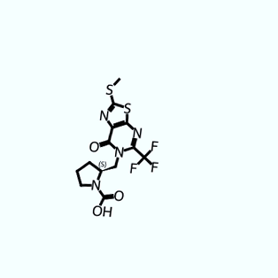 CSc1nc2c(=O)n(C[C@@H]3CCCN3C(=O)O)c(C(F)(F)F)nc2s1